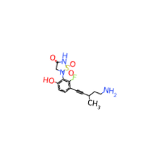 CC(C#Cc1ccc(O)c(N2CC(=O)NS2(=O)=O)c1F)CCN